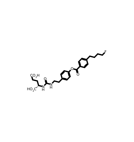 O=C(O)CC[C@H](NC(=O)NCCc1ccc(OC(=O)c2ccc(CCCCF)cc2)cc1)C(=O)O